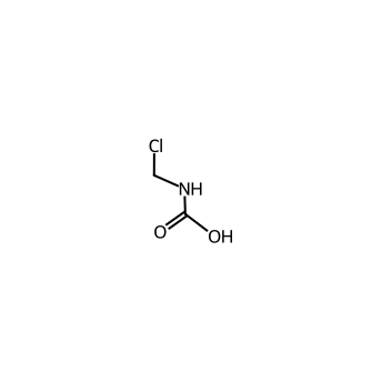 O=C(O)NCCl